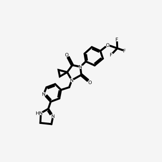 O=C1N(c2ccc(OC(F)(F)F)cc2)C(=O)C2(CC2)N1Cc1ccnc(C2=NCCN2)c1